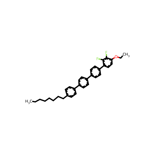 CCCCCCCCc1ccc(-c2ccc(-c3ccc(-c4ccc(OCC)c(F)c4F)cc3)cc2)cc1